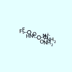 CC(C)n1nc(-c2ccc(CC(=O)Nc3cccc(C4CC4(F)F)c3)cc2)c(C(N)=O)c1N